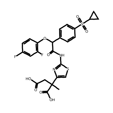 CC(CC(=O)O)(C(=O)O)c1csc(NC(=O)C(Oc2ccc(F)cc2F)c2ccc(S(=O)(=O)C3CC3)cc2)n1